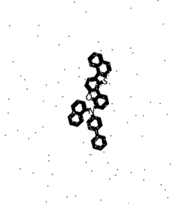 c1ccc(-c2ccc(N(c3cccc4ccccc34)c3cccc4c3oc3ccc5c(sc6ccc7ccccc7c65)c34)cc2)cc1